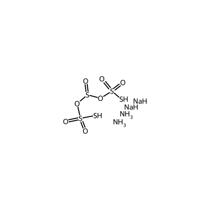 N.N.O=S(OS(=O)(=O)S)OS(=O)(=O)S.[NaH].[NaH]